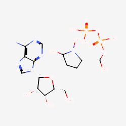 Nc1ncnc2c1ncn2[C@@H]1O[C@H](CO)[C@@H](O)[C@H]1O.O=P(O)(O)OP(=O)(O)OCO.OC1CCCN1O